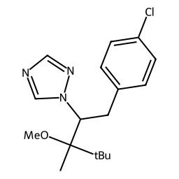 COC(C)(C(Cc1ccc(Cl)cc1)n1cncn1)C(C)(C)C